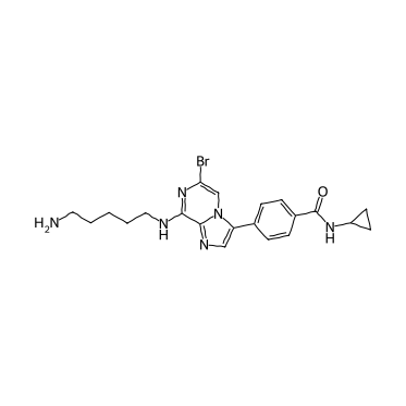 NCCCCCNc1nc(Br)cn2c(-c3ccc(C(=O)NC4CC4)cc3)cnc12